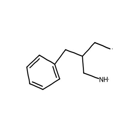 [CH2]CC(C[NH])Cc1ccccc1